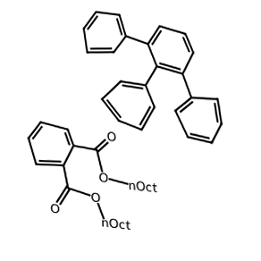 CCCCCCCCOC(=O)c1ccccc1C(=O)OCCCCCCCC.c1ccc(-c2cccc(-c3ccccc3)c2-c2ccccc2)cc1